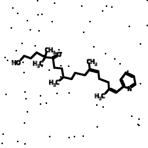 CC(=Cc1ccccn1)CCC=C(C)CCCC(C)CCC(=O)C(C)(C)CCCO